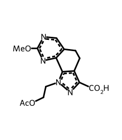 COc1ncc2c(n1)-c1c(c(C(=O)O)nn1CCOC(C)=O)CC2